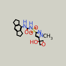 Cn1nc(S(=O)(=O)NC(=O)Nc2c3c(cc4c2CCC4)CCC3)cc1C1(O)COC1